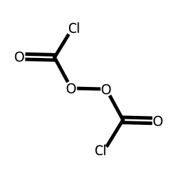 O=C(Cl)OOC(=O)Cl